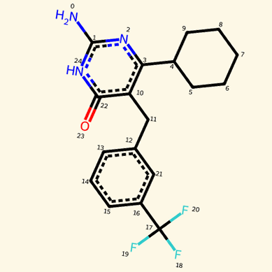 Nc1nc(C2CCCCC2)c(Cc2cccc(C(F)(F)F)c2)c(=O)[nH]1